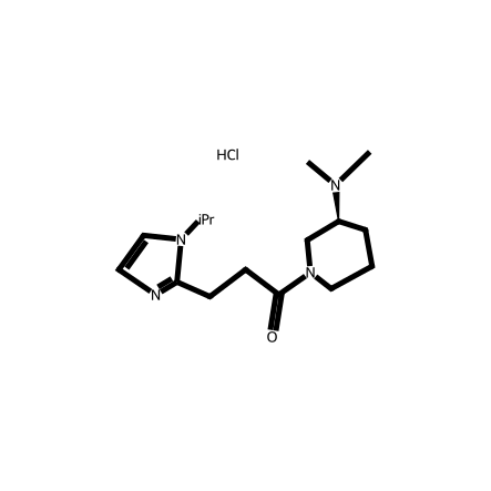 CC(C)n1ccnc1CCC(=O)N1CCC[C@H](N(C)C)C1.Cl